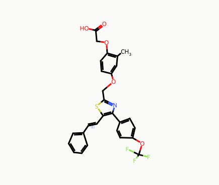 Cc1cc(OCc2nc(-c3ccc(OC(F)(F)F)cc3)c(/C=C/c3ccccc3)s2)ccc1OCC(=O)O